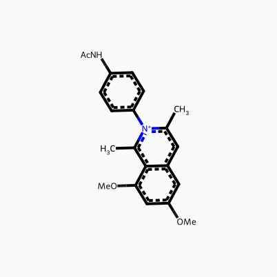 COc1cc(OC)c2c(C)[n+](-c3ccc(NC(C)=O)cc3)c(C)cc2c1